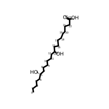 CCCCC[C@H](O)CCCCCCC(O)CCCCCCCCC(=O)O